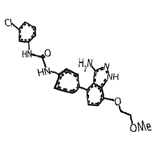 COCCOc1ccc(-c2ccc(NC(=O)Nc3cccc(Cl)c3)cc2)c2c(N)n[nH]c12